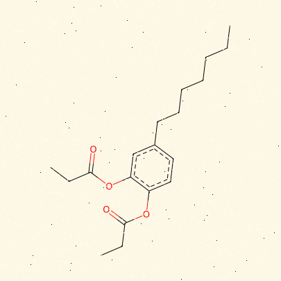 CCCCCCCc1ccc(OC(=O)CC)c(OC(=O)CC)c1